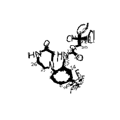 O=C1CN(c2ccc(S(F)(F)(F)(F)F)cc2NC(=O)OCC(Cl)(Cl)Cl)CCN1